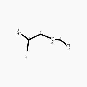 ClCCCC(Br)I